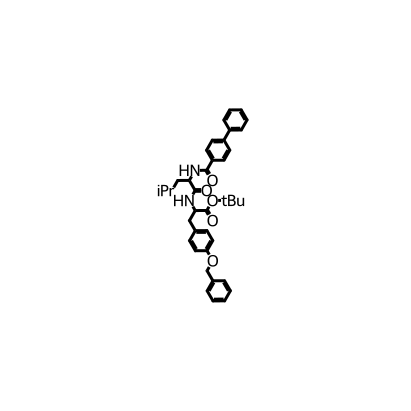 CC(C)CC(NC(=O)c1ccc(-c2ccccc2)cc1)C(=O)NC(Cc1ccc(OCc2ccccc2)cc1)C(=O)OC(C)(C)C